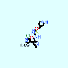 COc1cnc(Cl)cc1-c1cc(C)ncc1C(=O)Nc1nnc(OCC2CCNCC2)s1